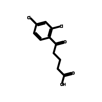 O=C(O)CCCC(=O)c1ccc(Cl)cc1Cl